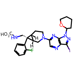 O=C(O)NC[C@]1(c2ccccc2F)[C@@H]2CCN(c3cnc4c(I)nn(C5CCCCO5)c4n3)C[C@@H]21